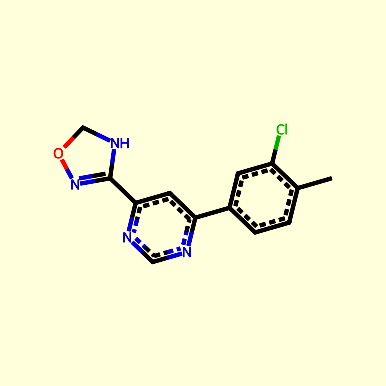 Cc1ccc(-c2cc(C3=NOCN3)ncn2)cc1Cl